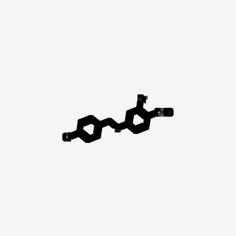 O=Cc1ccc(SCc2ccc(Cl)cc2)cc1Br